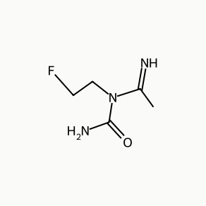 CC(=N)N(CCF)C(N)=O